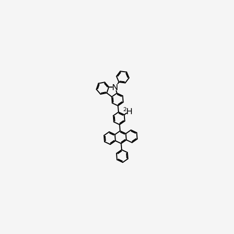 [2H]c1cc(-c2c3ccccc3c(-c3ccccc3)c3ccccc23)ccc1-c1ccc2c(c1)c1ccccc1n2-c1ccccc1